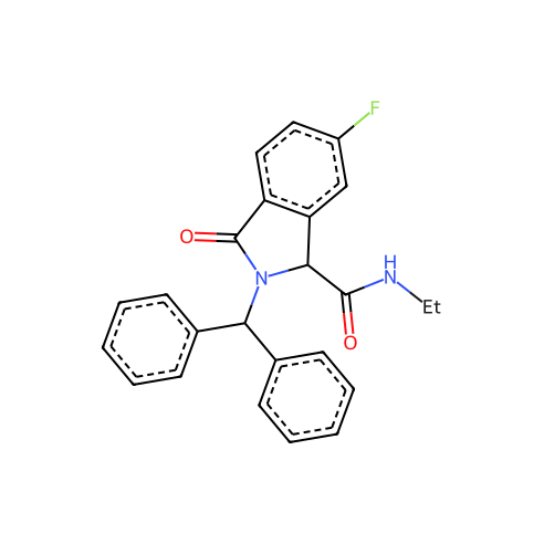 CCNC(=O)C1c2cc(F)ccc2C(=O)N1C(c1ccccc1)c1ccccc1